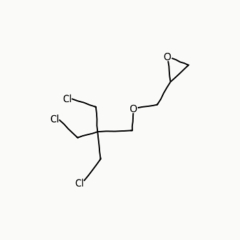 ClCC(CCl)(CCl)COCC1CO1